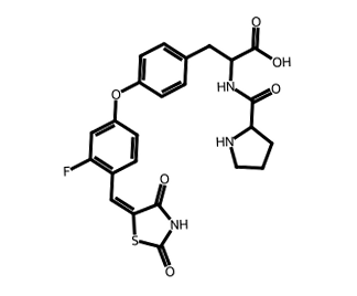 O=C1NC(=O)/C(=C\c2ccc(Oc3ccc(CC(NC(=O)C4CCCN4)C(=O)O)cc3)cc2F)S1